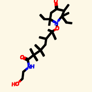 CCC1(C)CC(=O)C(C)C(C)(CC)N1OC(C)(C)C(C)CC(C)(C)C(C)(C)C(=O)NCCO